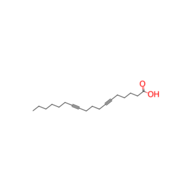 CCCCCCC#CCCCC#CCCCCC(=O)O